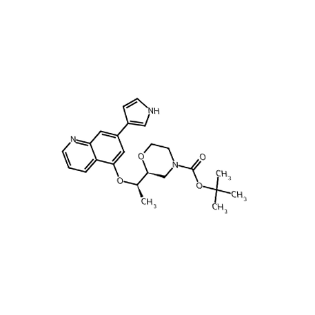 C[C@@H](Oc1cc(-c2cc[nH]c2)cc2ncccc12)[C@@H]1CN(C(=O)OC(C)(C)C)CCO1